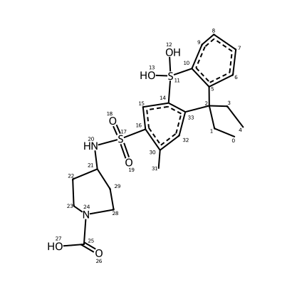 CCC1(CC)c2ccccc2S(O)(O)c2cc(S(=O)(=O)NC3CCN(C(=O)O)CC3)c(C)cc21